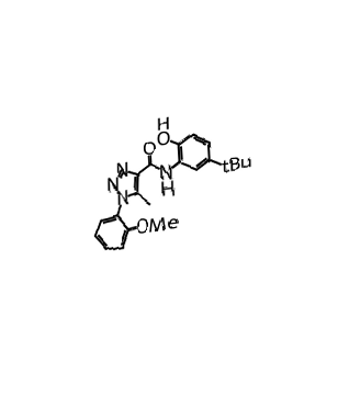 COc1ccccc1-n1nnc(C(=O)Nc2cc(C(C)(C)C)ccc2O)c1C